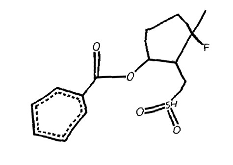 CC1(F)CCC(OC(=O)c2ccccc2)C1C[SH](=O)=O